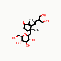 CC1=C(/C=C/C(CO)CO)[C@](C)(CC2O[C@H](CO)[C@@H](O)[C@H](O)[C@H]2O)CCC1=O